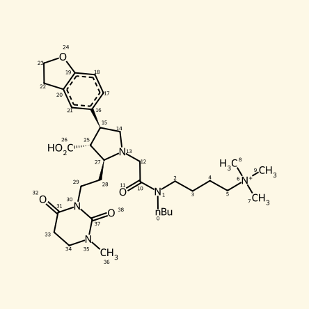 CCCCN(CCCC[N+](C)(C)C)C(=O)CN1C[C@H](c2ccc3c(c2)CCO3)[C@@H](C(=O)O)[C@@H]1CCN1C(=O)CCN(C)C1=O